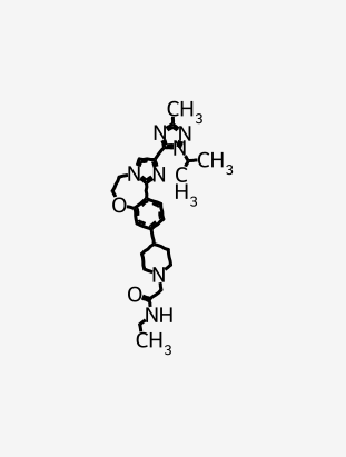 CCNC(=O)CN1CCC(c2ccc3c(c2)OCCn2cc(-c4nc(C)nn4C(C)C)nc2-3)CC1